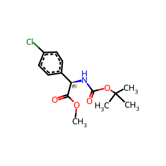 COC(=O)[C@H](NC(=O)OC(C)(C)C)c1ccc(Cl)cc1